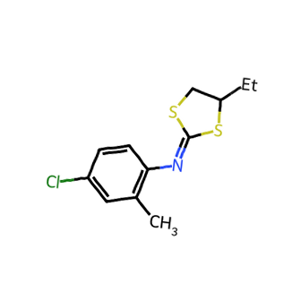 CCC1CS/C(=N\c2ccc(Cl)cc2C)S1